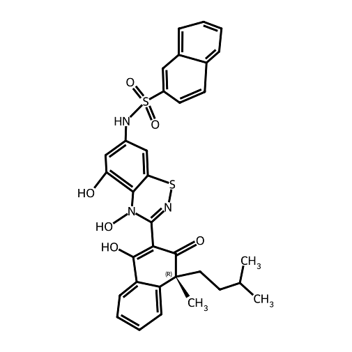 CC(C)CC[C@@]1(C)C(=O)C(C2=NSc3cc(NS(=O)(=O)c4ccc5ccccc5c4)cc(O)c3N2O)=C(O)c2ccccc21